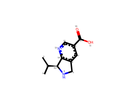 CC(C)[C@@H]1NCc2cc(C(=O)O)cnc21